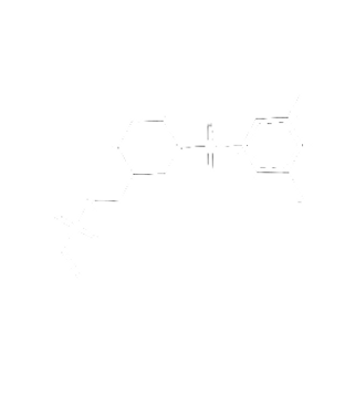 C=CS(=O)(=O)NCC1CCCN(S(=O)(=O)c2cc(C)cc(C)c2)C1